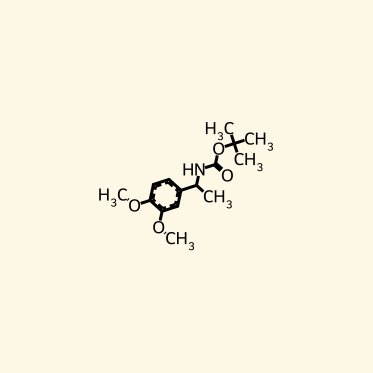 COc1ccc(C(C)NC(=O)OC(C)(C)C)cc1OC